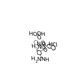 Cl.N=C(N)c1cccc(C[C@](N)(C(=O)N2CCCCC2)S(=O)(=O)c2ccc3ccccc3c2)c1.O=C(O)O